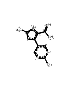 Cc1cc(-c2cnc(C(F)(F)F)nc2)c(C(=N)N)[nH]1